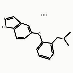 CN(C)Cc1ccccc1Oc1ccc2[nH]ncc2c1.Cl